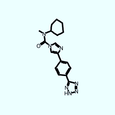 CN(C(=O)n1cnc(-c2ccc(-c3nn[nH]n3)cc2)c1)C1CCCCC1